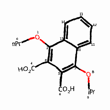 CCCOc1c(C(=O)O)c(C(=O)O)c(OC(C)C)c2ccccc12